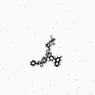 Cc1cc(N2CCc3c(nc(OCC4CCN(CC(=O)N(C)C)C4)nc3N3CCN(C(=O)OCc4ccccc4)CC3)C2)c2ccccc2c1